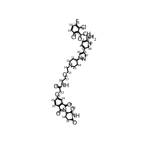 C[C@@H](Oc1cc(-c2cnn(C3CCN(CCOCCNC(=O)COc4ccc5c(c4)C(=O)N(C4CCC(=O)NC4=O)C5=O)CC3)c2)cnc1N)c1c(Cl)ccc(F)c1Cl